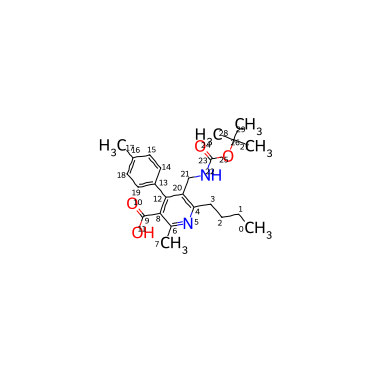 CCCCc1nc(C)c(C(=O)O)c(-c2ccc(C)cc2)c1CNC(=O)OC(C)(C)C